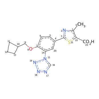 Cc1nc(-c2ccc(OCC3CCC3)c(-n3cnnn3)c2)sc1C(=O)O